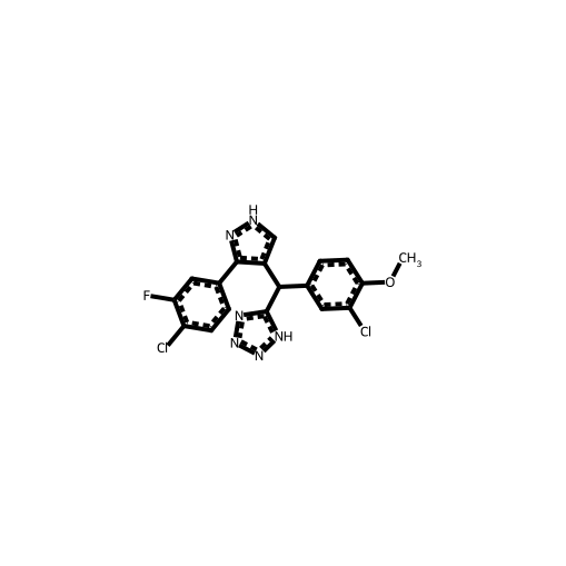 COc1ccc(C(c2nnn[nH]2)c2c[nH]nc2-c2ccc(Cl)c(F)c2)cc1Cl